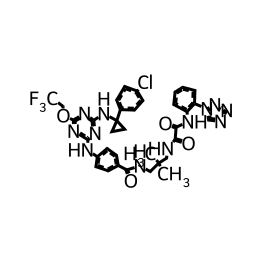 CC(C)(CNC(=O)C(=O)Nc1ccccc1-n1cnnn1)CNC(=O)c1ccc(Nc2nc(NC3(c4ccc(Cl)cc4)CC3)nc(OCC(F)(F)F)n2)cc1